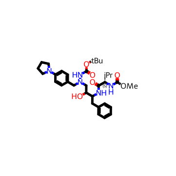 COC(=O)N[C@H](C(=O)NC(Cc1ccccc1)C(O)CN(Cc1ccc(N2CCCC2)cc1)NC(=O)OC(C)(C)C)C(C)C